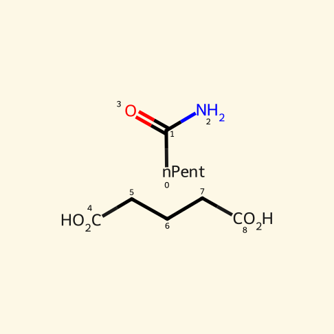 CCCCCC(N)=O.O=C(O)CCCC(=O)O